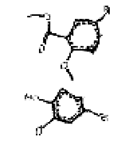 COC(=O)c1cc(Br)[c]cc1OC.Oc1c[c]c(Br)cc1Cl